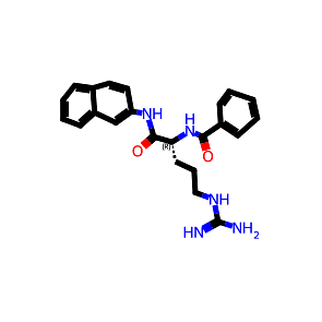 N=C(N)NCCC[C@@H](NC(=O)c1ccccc1)C(=O)Nc1ccc2ccccc2c1